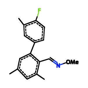 CON=Cc1c(C)cc(C)cc1-c1ccc(F)c(C)c1